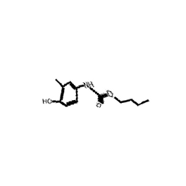 CCCCOC(=O)Nc1ccc(O)c(C)c1